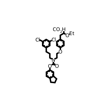 CCOC(Cc1ccc(OCCN(CCCc2cc(Cl)cc(Cl)c2)C(=O)Oc2ccc3c(c2)CCC3)cc1)C(=O)O